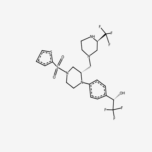 O=S(=O)(c1cccs1)N1CCN(c2ccc([C@H](O)C(F)(F)F)cc2)[C@@H](CN2CCN[C@@H](C(F)(F)F)C2)C1